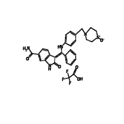 NC(=O)c1ccc2c(c1)NC(=O)C2=C(Nc1ccc(CN2CC[S+]([O-])CC2)cc1)c1ccccc1.O=C(O)C(F)(F)F